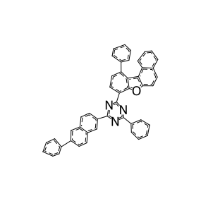 c1ccc(-c2ccc3cc(-c4nc(-c5ccccc5)nc(-c5ccc(-c6ccccc6)c6c5oc5ccc7ccccc7c56)n4)ccc3c2)cc1